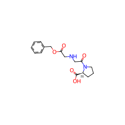 O=C(CNCC(=O)N1CCC[C@H]1C(=O)O)OCc1ccccc1